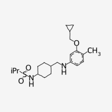 Cc1ccc(NCC2CCC(NS(=O)(=O)C(C)C)CC2)cc1OCC1CC1